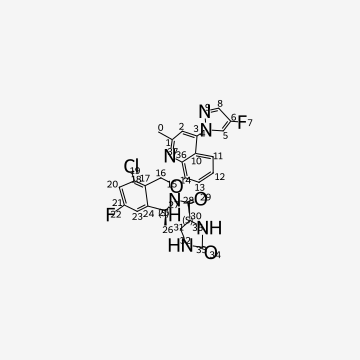 Cc1cc(-n2cc(F)cn2)c2cccc(OCc3c(Cl)cc(F)cc3[C@H](C)NC(=O)[C@@H]3CNC(=O)N3)c2n1